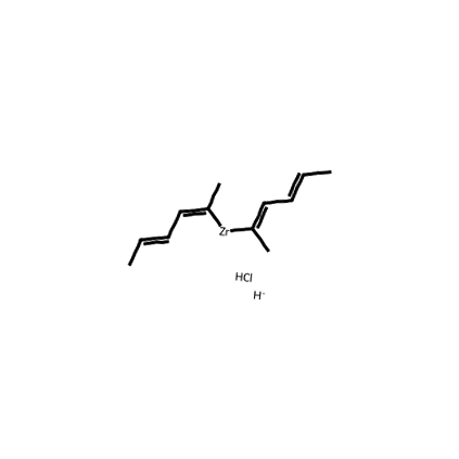 CC=CC=[C](C)[Zr][C](C)=CC=CC.Cl.[H-]